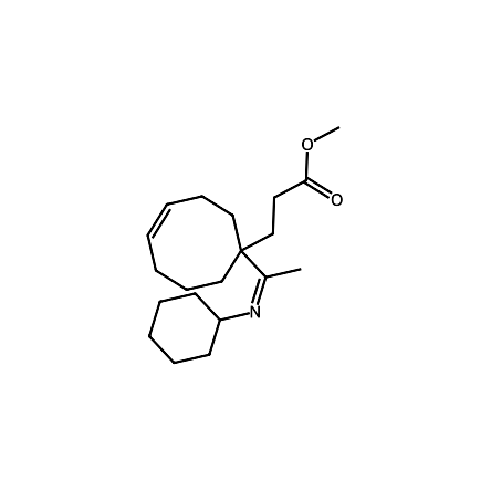 COC(=O)CCC1(/C(C)=N\C2CCCCC2)CC/C=C\CCC1